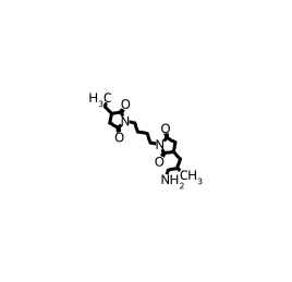 CCC1CC(=O)N(CCCCN2C(=O)CC(CC(C)CN)C2=O)C1=O